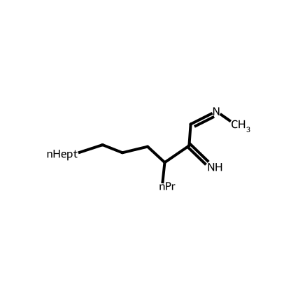 CCCCCCCCCCC(CCC)C(=N)/C=N\C